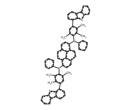 Cc1cc(-c2cccc3c2sc2ccccc23)c(C)c(C)c1N(c1ccccc1)c1ccc2ccc3c(N(c4ccccc4)c4c(C)cc(-c5cccc6c5sc5ccccc56)c(C)c4C)ccc4ccc1c2c43